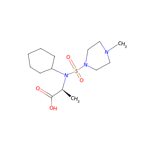 C[C@@H](C(=O)O)N(C1CCCCC1)S(=O)(=O)N1CCN(C)CC1